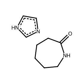 O=C1CCCCCN1.c1c[nH]cn1